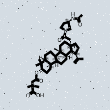 C=C(C)[C@@H]1CC[C@]2(CC(=O)N3CC[C@@H](NC(C)=O)C3)CC[C@]3(C)[C@H](CC[C@@H]4[C@@]5(C)CC[C@H](OC(=O)CC(C)(C)C(=O)O)C(C)(C)[C@@H]5CC[C@]43C)[C@@H]12